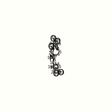 CC1=C(N2CCCC[C@H](N(C)CCc3ccc4c(c3C)COC4=O)CCC2=O)COC1=O